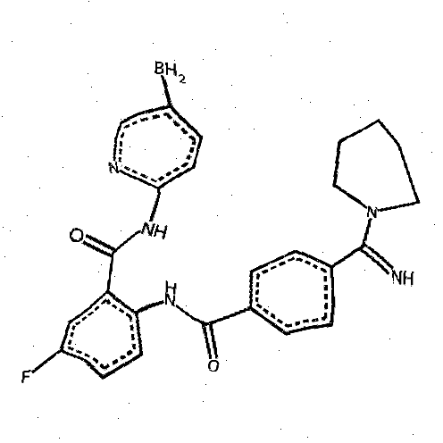 Bc1ccc(NC(=O)c2cc(F)ccc2NC(=O)c2ccc(C(=N)N3CCCCC3)cc2)nc1